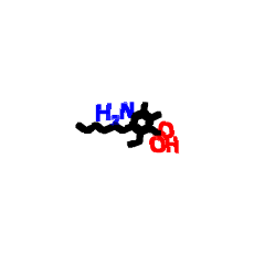 CCCCCCc1c(N)c(C)c(C)c(C(=O)O)c1CC